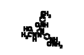 C[C@@H](CO)Nc1cc(C(=O)NC2CCN(C)CC2)nc(-c2ccc(NC(N)=O)cc2)n1